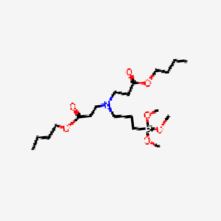 CCCCOC(=O)CCN(CCC[Si](OC)(OC)OC)CCC(=O)OCCCC